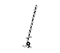 COCCOCCOCCOCCOCCOCCOCCOCCNC(=O)COc1ccc(C(C)=O)c(N)c1